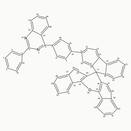 c1ccc(-c2nc(-c3ccc(-c4ccc5c(c4)C4(c6ccccc6-5)c5ccc6ccccc6c5Oc5c4ccc4ccccc54)cc3)c3ccccc3n2)cc1